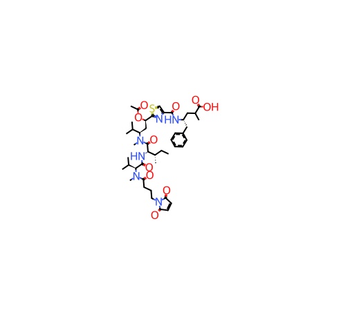 CC[C@H](C)[C@H](NC(=O)[C@H](C(C)C)N(C)C(=O)CCCN1C(=O)C=CC1=O)C(=O)N(C)[C@H](C[C@@H](OC(C)=O)c1nc(C(=O)N[C@@H](Cc2ccccc2)CC(C)C(=O)O)cs1)C(C)C